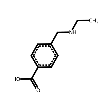 CCNCc1ccc(C(=O)O)cc1